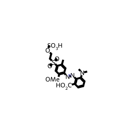 COc1cc(S(=O)(=O)CCOS(=O)(=O)O)c(C)cc1/N=N/c1c(C(=O)O)cccc1N(C)C